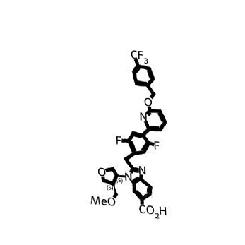 COC[C@H]1COC[C@H]1n1c(Cc2cc(F)c(-c3cccc(OCc4ccc(C(F)(F)F)cc4)n3)cc2F)nc2ccc(C(=O)O)cc21